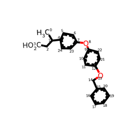 CC(CC(=O)O)c1ccc(Oc2ccc(OCc3ccccc3)cc2)cc1